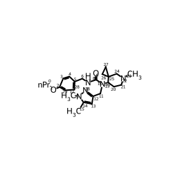 CCCOc1ccc(CNC(=O)N(Cc2cc(C)n(C)n2)[C@@H]2CCN(C)CC23CC3)cc1